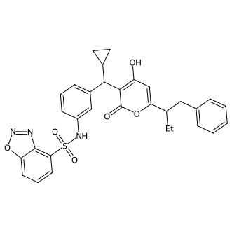 CCC(Cc1ccccc1)c1cc(O)c(C(c2cccc(NS(=O)(=O)c3cccc4onnc34)c2)C2CC2)c(=O)o1